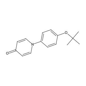 CC(C)(C)Oc1ccc(-n2ccc(=O)cc2)cc1